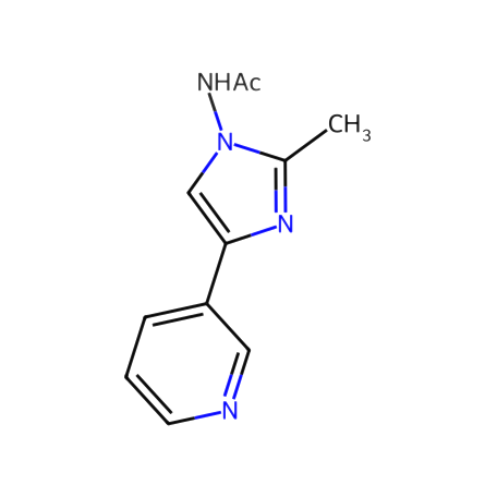 CC(=O)Nn1cc(-c2cccnc2)nc1C